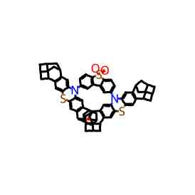 O=S1(=O)c2ccc(N3c4cc5c(cc4Sc4cc6c(cc43)C3CC4CC7CC6C47C3)C3CC4CC5CC3C4)cc2-c2cc(N3c4cc5c(cc4Sc4cc6c(cc43)C3CC4CC7CC6C47C3)C3CC4CC6CC5CC643)ccc21